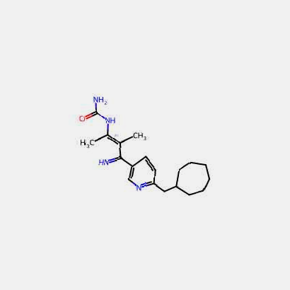 C/C(NC(N)=O)=C(/C)C(=N)c1ccc(CC2CCCCCC2)nc1